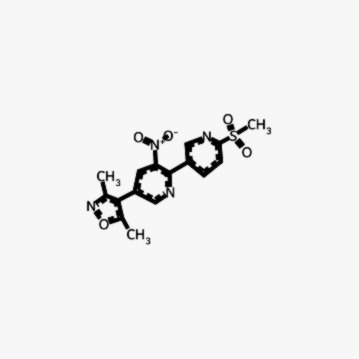 Cc1noc(C)c1-c1cnc(-c2ccc(S(C)(=O)=O)nc2)c([N+](=O)[O-])c1